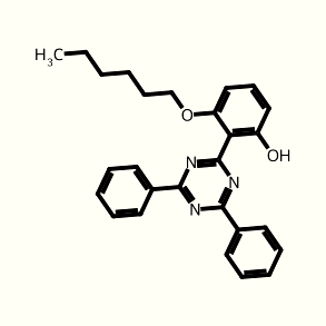 CCCCCCOc1cccc(O)c1-c1nc(-c2ccccc2)nc(-c2ccccc2)n1